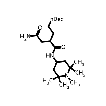 CCCCCCCCCCCCC(CC(N)=O)C(=O)NC1CC(C)(C)N(C)C(C)(C)C1